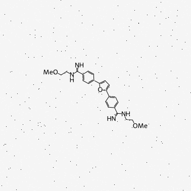 COCCNC(=N)c1ccc(-c2ccc(-c3ccc(C(=N)NCCOC)cc3)o2)cc1